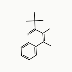 CC(C(=O)C(C)(C)C)=C(C)c1ccccc1